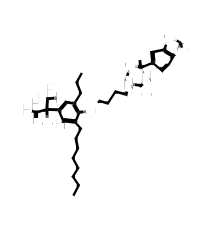 CCCCCCCCc1cc(C(O)(C(F)(F)F)C(F)(F)F)cc(CCC)c1OCCCCN1COC(C)(c2ccc3c(c2)OCO3)NC1=O